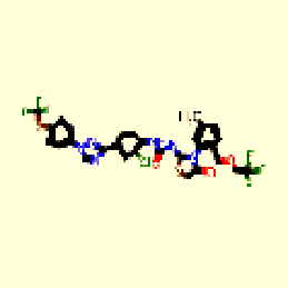 Cc1ccc(COCC(F)(F)F)c(N2C(=O)CSC2=NC(=O)Nc2ccc(-c3ncn(-c4ccc(SC(F)(F)F)cc4)n3)cc2Cl)c1